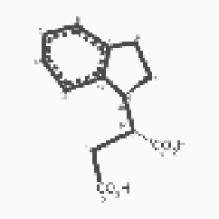 O=C(O)C[C@@H](C(=O)O)[C@@H]1CCc2ccccc21